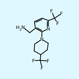 NCc1ccc(C(F)(F)F)nc1N1CCC(C(F)(F)F)CC1